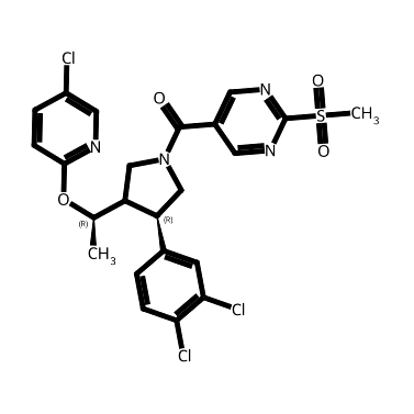 C[C@@H](Oc1ccc(Cl)cn1)C1CN(C(=O)c2cnc(S(C)(=O)=O)nc2)C[C@H]1c1ccc(Cl)c(Cl)c1